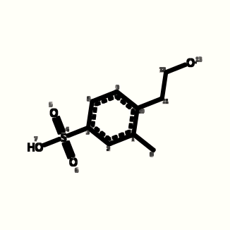 Cc1cc(S(=O)(=O)O)ccc1CC[O]